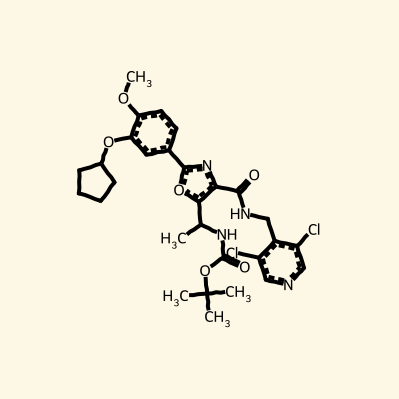 COc1ccc(-c2nc(C(=O)NCc3c(Cl)cncc3Cl)c(C(C)NC(=O)OC(C)(C)C)o2)cc1OC1CCCC1